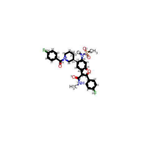 CNC(=O)c1c(-c2ccc(F)cc2)oc2cc(N(C)S(C)(=O)=O)c([C@@H]3CCCN(C(=O)c4ccc(F)cc4)C3)cc12